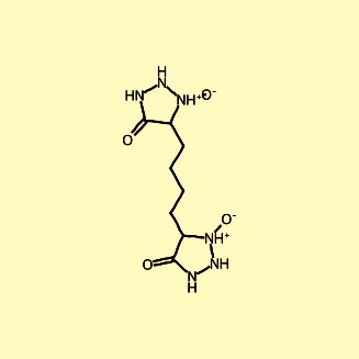 O=C1NN[NH+]([O-])C1CCCCC1C(=O)NN[NH+]1[O-]